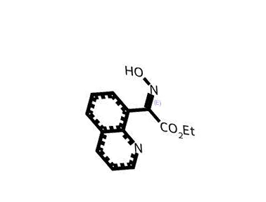 CCOC(=O)/C(=N/O)c1cccc2cccnc12